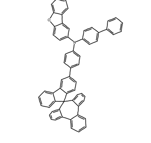 c1ccc(-c2ccc(N(c3ccc(-c4ccc5c(c4)-c4ccccc4C54c5ccccc5-c5ccccc5-c5ccccc54)cc3)c3ccc4oc5ccccc5c4c3)cc2)cc1